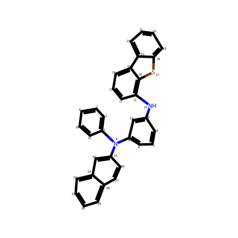 c1ccc(N(c2cccc(Nc3cccc4c3sc3ccccc34)c2)c2ccc3ccccc3c2)cc1